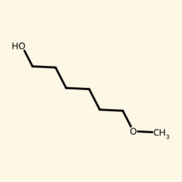 COCCCCCCO